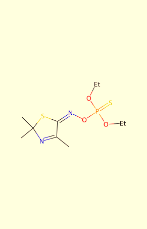 CCOP(=S)(OCC)ON=C1SC(C)(C)N=C1C